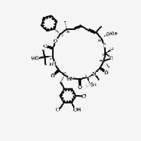 CC[C@H](C)[C@H]1C(=O)N[C@H](Cc2cc(Cl)c(O)c(Cl)c2)C(=O)N[C@@H](C(C)(C)O)C(=O)O[C@H](c2ccccc2)[C@H](C)/C=C/C=C(\C)[C@H](OC)C[C@@H]2O[C@@]2(C)C(=O)N1C